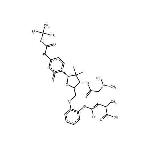 CC(/N=[P+](\[O-])Oc1ccccc1OC[C@H]1O[C@@H](n2ccc(NC(=O)OC(C)(C)C)nc2=O)C(F)(F)[C@@H]1OC(=O)CN(C)C)C(=O)O